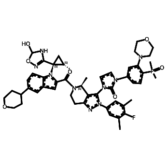 Cc1cc(-n2nc3c(c2-n2ccn(-c4ccc(P(C)(C)=O)c(N5CCOCC5)c4)c2=O)[C@H](C)N(C(=O)c2cc4cc(C5CCOCC5)ccc4n2[C@@]2(C4=NOC(O)N4)C[C@@H]2C)CC3)cc(C)c1F